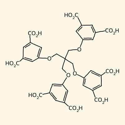 O=C(O)c1cc(OCC(COc2cc(C(=O)O)cc(C(=O)O)c2)(COc2cc(C(=O)O)cc(C(=O)O)c2)COc2cc(C(=O)O)cc(C(=O)O)c2)cc(C(=O)O)c1